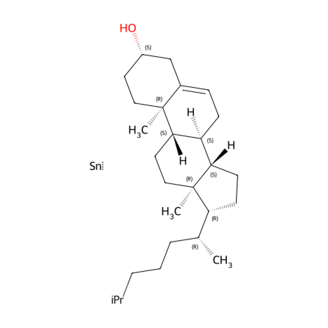 CC(C)CCC[C@@H](C)[C@H]1CC[C@H]2[C@@H]3CC=C4C[C@@H](O)CC[C@]4(C)[C@H]3CC[C@]12C.[Sn]